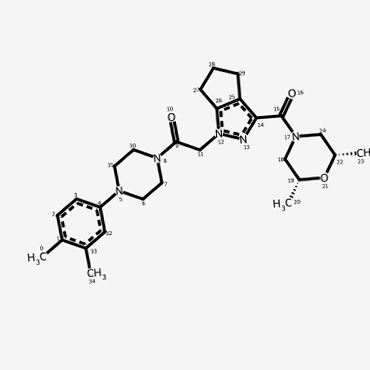 Cc1ccc(N2CCN(C(=O)Cn3nc(C(=O)N4C[C@@H](C)O[C@@H](C)C4)c4c3CCC4)CC2)cc1C